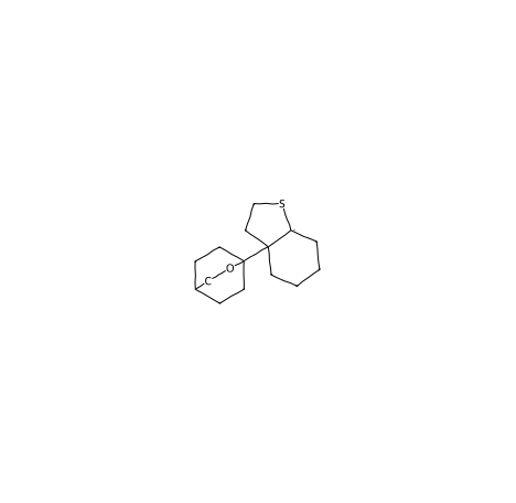 C1CCC2(C34CCC(CC3)CO4)CCS[C]2C1